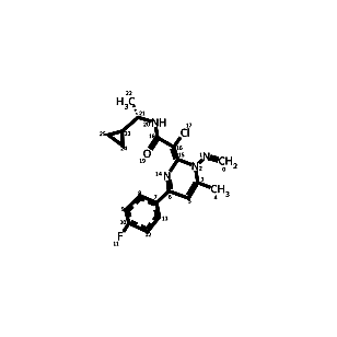 C=NN1C(C)=CC(c2ccc(F)cc2)=N/C1=C(/Cl)C(=O)N[C@@H](C)C1CC1